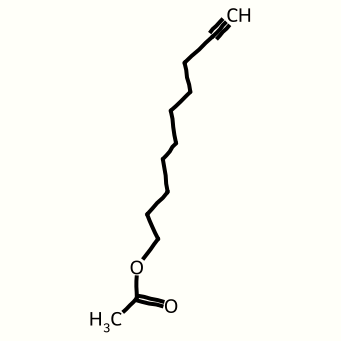 C#CCCCCCCCCOC(C)=O